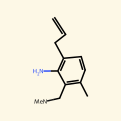 C=CCc1ccc(C)c(CNC)c1N